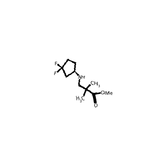 COC(=O)C(C)(C)CN[C@@H]1CCC(F)(F)C1